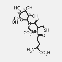 NC(CCC(=O)NC(CS)C(=O)N(CC(=O)O)C1O[C@H](CO)[C@@H](O)[C@H](O)[C@H]1O)C(=O)O